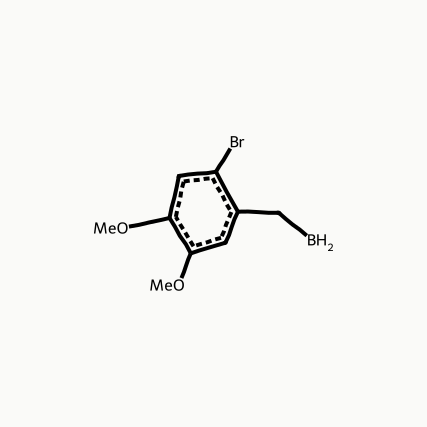 BCc1cc(OC)c(OC)cc1Br